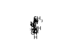 Cn1cc(-c2nccc(-c3[nH]c4c(c3I)C(=O)NCC4)n2)nn1